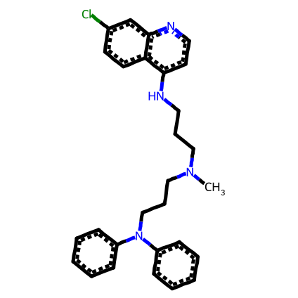 CN(CCCNc1ccnc2cc(Cl)ccc12)CCCN(c1ccccc1)c1ccccc1